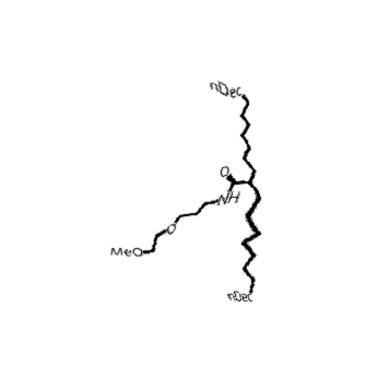 CCCCCCCCCCCCCCCCCC(CCCCCCCCCCCCCCCCC)C(=O)NCCCOCCOC